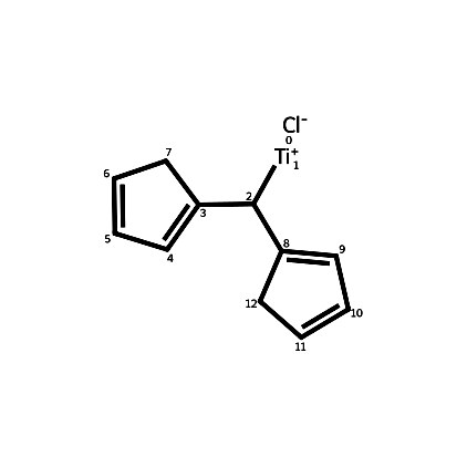 [Cl-].[Ti+][CH](C1=CC=CC1)C1=CC=CC1